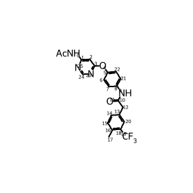 CC(=O)Nc1cc(Oc2ccc(NC(=O)Cc3ccc(C)c(C(F)(F)F)c3)cc2)ncn1